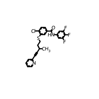 CC(C#Cc1ccccn1)CCSc1cc(C(=O)Nc2cc(F)c(F)c(F)c2)ccc1Cl